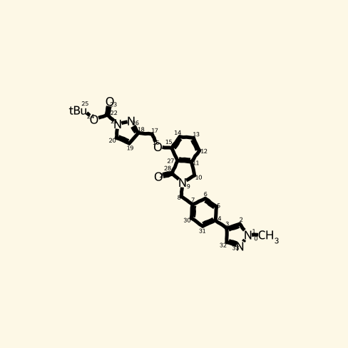 Cn1cc(-c2ccc(CN3Cc4cccc(OCc5ccn(C(=O)OC(C)(C)C)n5)c4C3=O)cc2)cn1